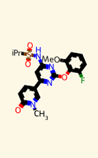 COc1cccc(F)c1Oc1nc(NS(=O)(=O)C(C)C)cc(-c2ccc(=O)n(C)c2)n1